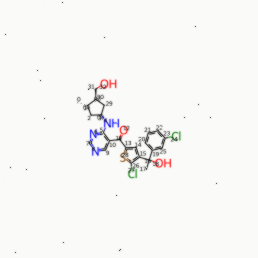 C[C@H]1C[C@H](Nc2ncncc2C(=O)c2cc(C(C)(O)c3cccc(Cl)c3)c(Cl)s2)C[C@@H]1CO